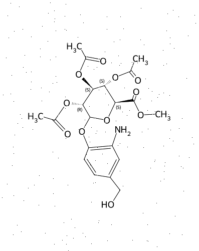 COC(=O)[C@H]1OC(Oc2ccc(CO)cc2N)[C@H](OC(C)=O)[C@@H](OC(C)=O)[C@@H]1OC(C)=O